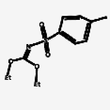 CCOC(=NS(=O)(=O)c1ccc(C)cc1)OCC